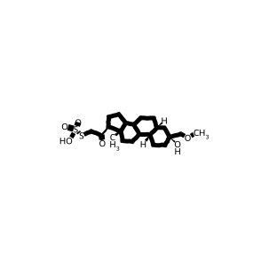 COC[C@@]1(O)CC[C@@H]2C3CC[C@@]4(C)C(CC[C@@H]4C(=O)CSS(=O)(=O)O)C3CC[C@H]2C1